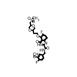 COc1cc(CNC(=O)c2nc3ccc(F)c(OCCC4COC(CS(C)(=O)=O)CO4)c3c(=O)[nH]2)ccc1F